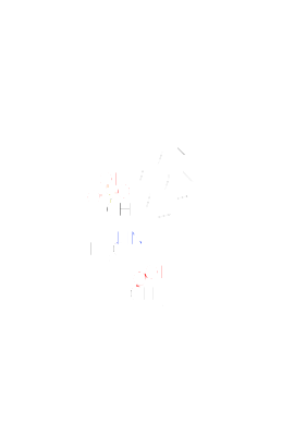 COCC(C)(CO)NCc1cc2ccc3cccc4ccc(c1)c2c34.CS(=O)(=O)O